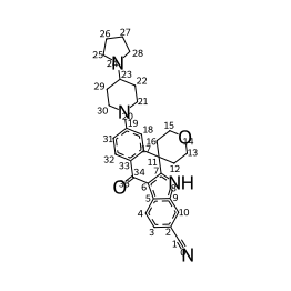 N#Cc1ccc2c3c([nH]c2c1)C1(CCOCC1)c1cc(N2CCC(N4CCCC4)CC2)ccc1C3=O